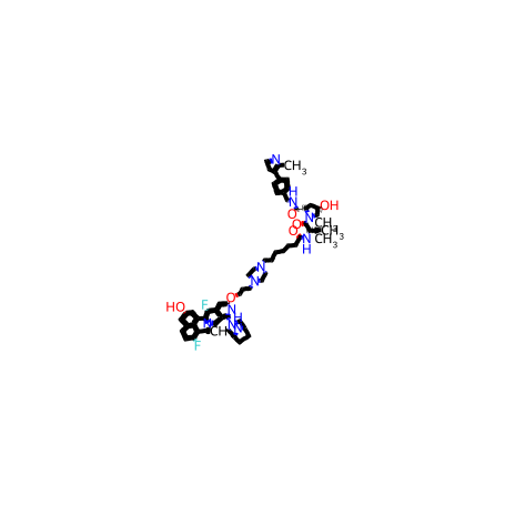 C#Cc1c(F)ccc2cc(O)cc(-c3ncc4c(N5CC6CCC(C5)N6)nc(OCCCN5CCN(CCCCCCC(=O)N[C@H](C(=O)N6C[C@H](O)C[C@H]6C(=O)NCc6ccc(C7=C(C)N=CC7)cc6)C(C)(C)C)CC5)cc4c3F)c12